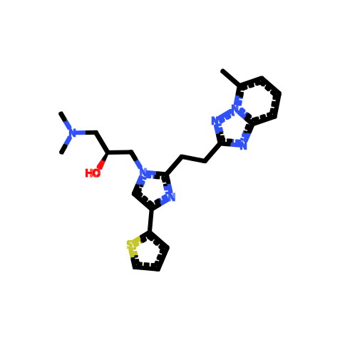 Cc1cccc2nc(CCc3nc(-c4cccs4)cn3C[C@@H](O)CN(C)C)nn12